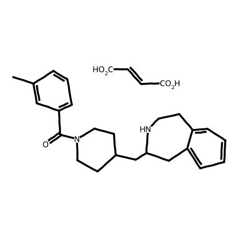 Cc1cccc(C(=O)N2CCC(CC3Cc4ccccc4CCN3)CC2)c1.O=C(O)C=CC(=O)O